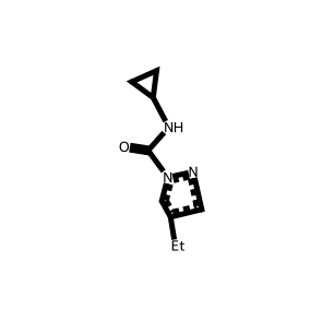 CCc1cnn(C(=O)NC2CC2)c1